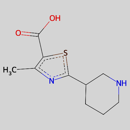 Cc1nc(C2CCCNC2)sc1C(=O)O